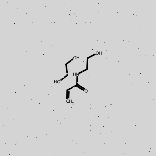 C=CC(=O)NCCO.OCCO